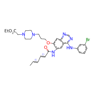 C/C=C/C=C/C(=O)Nc1cc2c(Nc3cccc(Br)c3)ncnc2cc1OCCCN1CCN(CC(=O)OCC)CC1